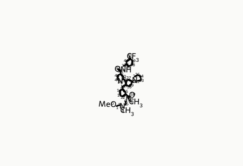 COCCN(C)CCN(C)C(=O)c1cccc(Cc2ccc(N3CCCCC3)cc2-c2cc(C(=O)NCc3cccc(C(F)(F)F)c3)ccn2)c1